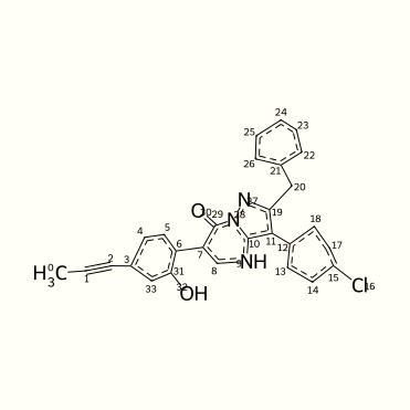 CC#Cc1ccc(-c2c[nH]c3c(-c4ccc(Cl)cc4)c(Cc4ccccc4)nn3c2=O)c(O)c1